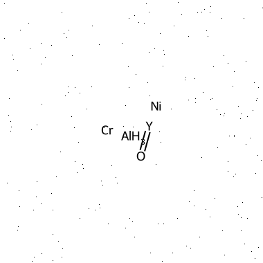 [AlH3].[Cr].[Ni].[O]=[Y]